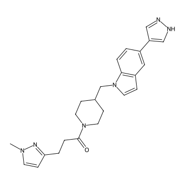 Cn1ccc(CCC(=O)N2CCC(Cn3ccc4cc(-c5cn[nH]c5)ccc43)CC2)n1